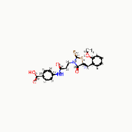 COc1ccccc1/C=C1\SC(=S)N(CCC(=O)Nc2ccc(C(=O)O)cc2)C1=O